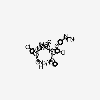 COC[C@@H]1NC(=O)[C@H](CC(=O)O)N(Cc2ccc(Cl)cc2Oc2ccc(-c3cnc(CN(C)C)n3C)cc2)C(=O)C[C@@H](Cc2ccccc2)C(=O)N(C)[C@@H](C)CNC(=O)C[C@H](Cc2ccc(Cl)cc2)N(C)C1=O